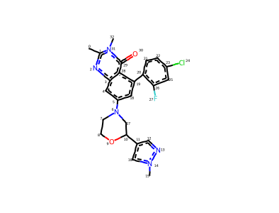 Cc1nc2cc(N3CCOC(c4cnn(C)c4)C3)cc(-c3ccc(Cl)cc3F)c2c(=O)n1C